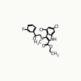 CCOC(=O)c1[nH]c2cc(Cl)cc(Cl)c2c1N(C)CC(=O)c1cccc(F)c1